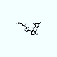 CN(CCN)c1nnc(-c2ccc(F)c(F)c2Nc2ccc(I)cc2F)o1